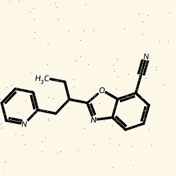 CCC(Cc1ccccn1)c1nc2cccc(C#N)c2o1